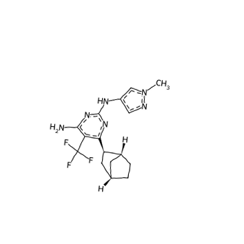 Cn1cc(Nc2nc(N)c(C(F)(F)F)c([C@@H]3C[C@H]4CC[C@@H]3C4)n2)cn1